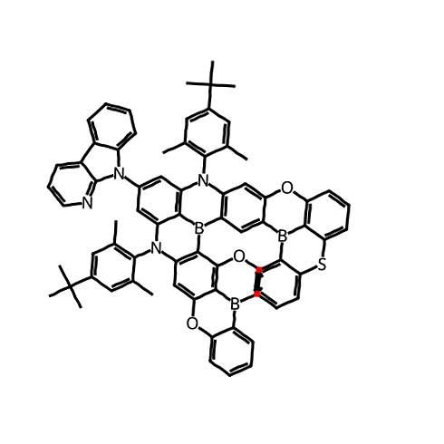 Cc1cc(C(C)(C)C)cc(C)c1N1c2cc3c(cc2B2c4c1cc(-n1c5ccccc5c5cccnc51)cc4N(c1c(C)cc(C(C)(C)C)cc1C)c1cc4c5c(c12)Oc1ccccc1B5c1ccccc1O4)B1c2ccccc2Sc2cccc(c21)O3